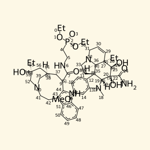 CCOP(=O)(CCNC(=O)[C@]1(c2cc3c(cc2OC)N(C)[C@H]2[C@@](O)(C(N)=O)[C@H](O)[C@]4(CC)C=CCN5CC[C@]32[C@@H]54)C[C@H]2CN(CCc3c1[nH]c1ccccc31)C[C@](O)(CC)C2)OCC